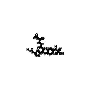 CCc1csc([C@H](Cc2ccc(NS(=O)(=O)O)cc2)NC(=O)CCC(=O)C2CO2)n1